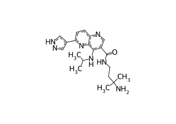 CC(C)Nc1c(C(=O)NCCC(C)(C)N)cnc2ccc(-c3cn[nH]c3)nc12